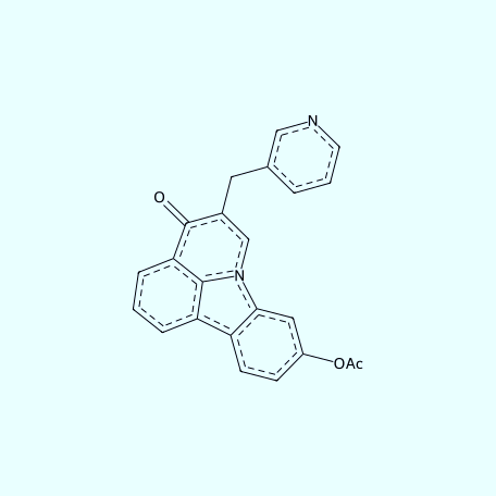 CC(=O)Oc1ccc2c3cccc4c(=O)c(Cc5cccnc5)cn(c2c1)c43